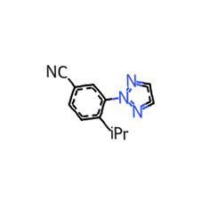 CC(C)c1ccc(C#N)cc1-n1nccn1